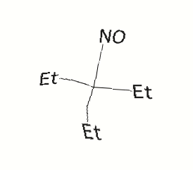 CCC(CC)(CC)N=O